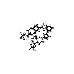 CO[C@H]1CN(c2nc(-c3cccc(Cl)c3OCc3ccc4c(c3)[C@H](C)CN(C(=O)OC(C)(C)C)CC4)cs2)CC[C@H]1C(=O)OC(C)(C)C